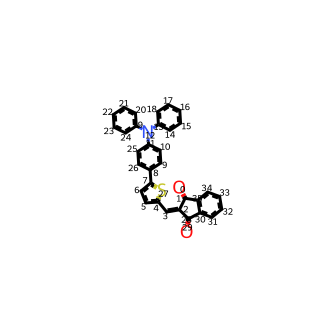 O=C1C(=Cc2ccc(-c3ccc(N(c4ccccc4)c4ccccc4)cc3)s2)C(=O)c2ccccc21